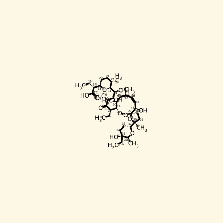 CC[C@@H](C(=O)[C@@H](C)[C@@H](O)[C@H](C)[C@@H]1O[C@@H]([C@@H](CC)C(=O)O)CC[C@@H]1C)[C@H]1OO[C@@]2(CC[C@@](C)([C@H]3CC[C@](O)(CC)[C@H](C)O3)O2)[C@H](O)/C=C\[C@H](C)C[C@@H]1C